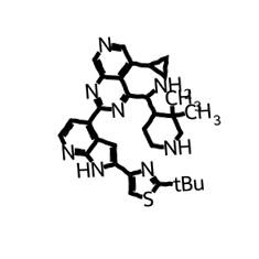 CC(C)(C)c1nc(-c2cc3c(-c4nc(C(N)C5CCNCC5(C)C)c5c(C6CC6)cncc5n4)ccnc3[nH]2)cs1